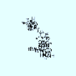 Cc1c(CCB2O[C@@H]3C[C@@H]4C[C@@H](C4(C)C)[C@]3(C)O2)ccc(OC2CN(C(=O)C(C)(NC(=O)OC(C)(C)C)c3c[nH]cn3)C2)c1C(=O)OC(C)(C)C